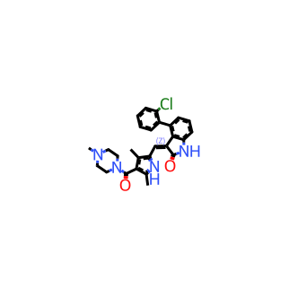 Cc1[nH]c(/C=C2\C(=O)Nc3cccc(-c4ccccc4Cl)c32)c(C)c1C(=O)N1CCN(C)CC1